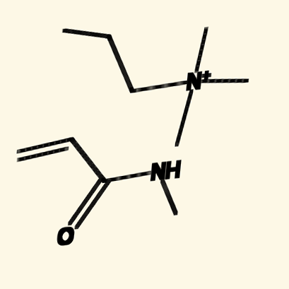 C=CC(=O)NC.CCC[N+](C)(C)C